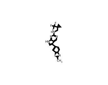 Cc1nc2ccc(-c3c[nH]c4nc(NCC5(C(F)(F)F)CC5)ncc34)cc2s1